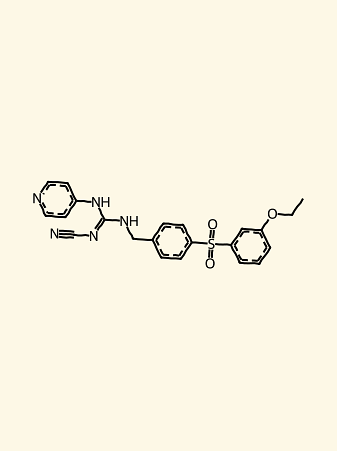 CCOc1cccc(S(=O)(=O)c2ccc(CNC(=NC#N)Nc3ccncc3)cc2)c1